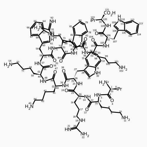 CC(C)[C@H](N)C(=O)N[C@@H](CCCCN)C(=O)N[C@@H](CCCNC(=N)N)C(=O)N[C@@H](Cc1c[nH]c2ccccc12)C(=O)N[C@@H](CCCCN)C(=O)N[C@@H](CCCCN)C(=O)N[C@@H](Cc1c[nH]c2ccccc12)C(=O)N[C@@H](Cc1c[nH]c2ccccc12)C(=O)N[C@@H](CCCNC(=N)N)C(=O)N[C@@H](CCCCN)C(=O)N[C@@H](Cc1c[nH]c2ccccc12)C(=O)N[C@H](C(=O)O)C(C)C